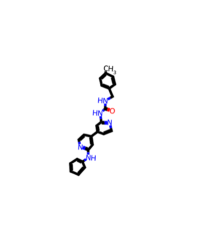 Cc1ccc(CNC(=O)Nc2cc(-c3ccnc(Nc4ccccc4)c3)ccn2)cc1